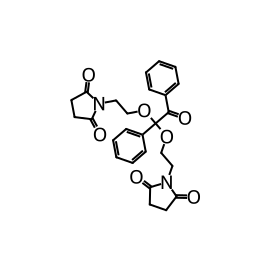 O=C1CCC(=O)N1CCOC(OCCN1C(=O)CCC1=O)(C(=O)c1ccccc1)c1ccccc1